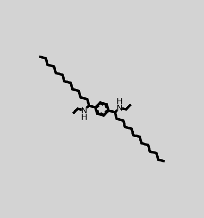 CCCCCCCCCCCCC(NCC)c1ccc(C(CCCCCCCCCCCC)NCC)cc1